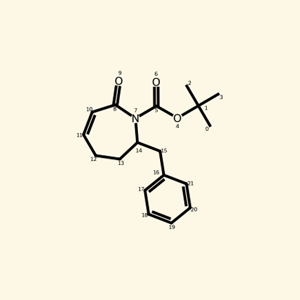 CC(C)(C)OC(=O)N1C(=O)C=CCCC1Cc1ccccc1